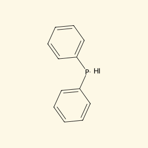 I.c1ccc([P]c2ccccc2)cc1